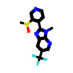 Cn1c(-c2ccncc2[S+](C)[O-])nc2cc(C(F)(F)F)cnc21